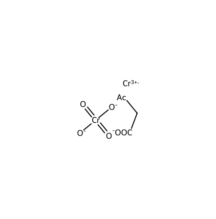 CC(=O)CC(=O)[O-].[Cr+3].[O]=[Cr](=[O])([O-])[O-]